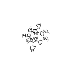 O=[N+]([O-])c1cccc(-c2nn3c(c2-c2ccncc2)SCC3O)c1.O=[N+]([O-])c1cccc(-c2nn3ccsc3c2-c2ccncc2)c1